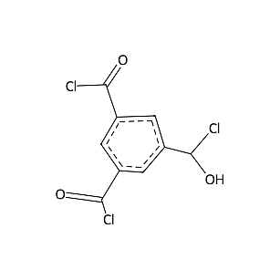 O=C(Cl)c1cc(C(=O)Cl)cc(C(O)Cl)c1